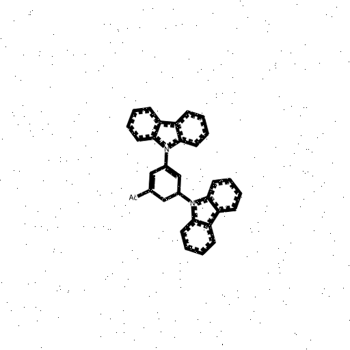 CC(=O)C1=CC(n2c3ccccc3c3ccccc32)=CC(n2c3ccccc3c3ccccc32)C1